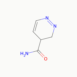 NC(=O)C1C=CN=NC1